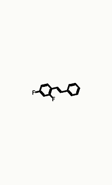 Fc1ccc(C=Cc2ccccc2)c(F)c1